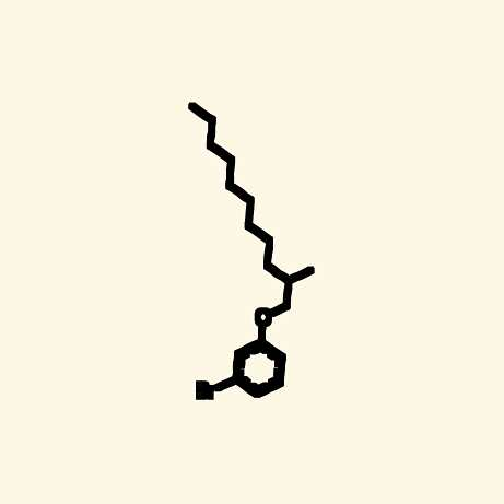 CCCCCCCCCC(C)COc1cccc(Br)c1